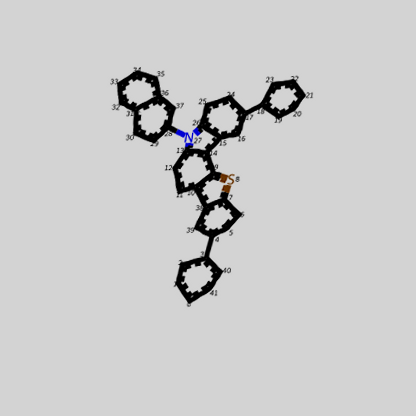 c1ccc(-c2ccc3sc4c(ccc5c4c4cc(-c6ccccc6)ccc4n5-c4ccc5ccccc5c4)c3c2)cc1